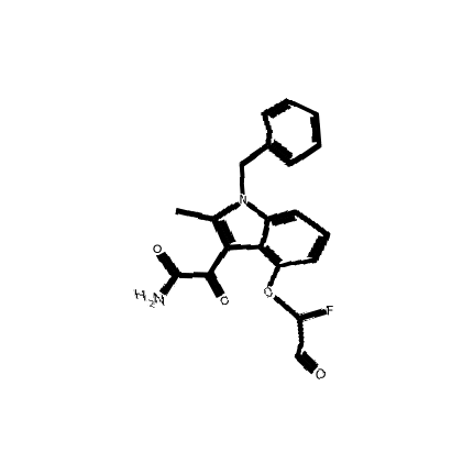 Cc1c(C(=O)C(N)=O)c2c(OC(F)C=O)cccc2n1Cc1ccccc1